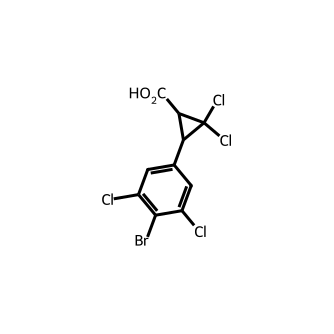 O=C(O)C1C(c2cc(Cl)c(Br)c(Cl)c2)C1(Cl)Cl